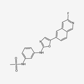 CS(=O)(=O)Nc1cccc(Nc2ncc(-c3ccc4cnc(F)cc4c3)o2)c1